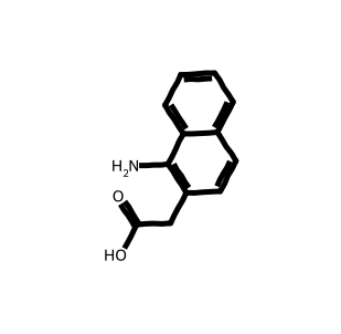 Nc1c(CC(=O)O)ccc2ccccc12